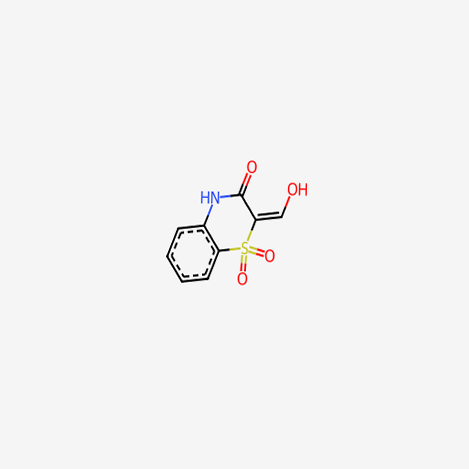 O=C1Nc2ccccc2S(=O)(=O)/C1=C/O